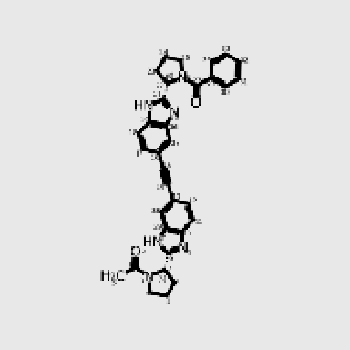 CC(=O)N1CCC[C@H]1c1nc2ccc(C#Cc3ccc4[nH]c([C@@H]5CCCN5C(=O)c5ccccc5)nc4c3)cc2[nH]1